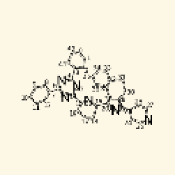 c1ccc(-c2nc(-c3ccccc3)nc(-c3cccc(-c4nn(-c5ccncc5)c5ccc6ccccc6c45)n3)n2)cc1